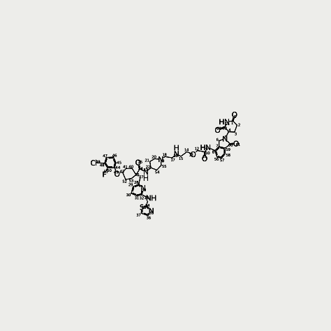 O=C1CCC(N2Cc3c(NC(=O)COCCNCCN4CCC(NC(=O)[C@]5(Cc6cccc(Nc7nccs7)n6)CC[C@@H](Oc6cccc(Cl)c6F)CC5)CC4)cccc3C2=O)C(=O)N1